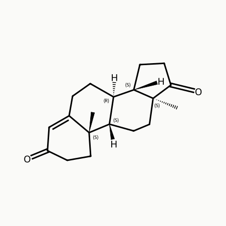 C[C@]12CC[C@H]3[C@@H](CCC4=CC(=O)CC[C@]43C)[C@@H]1CCC2=O